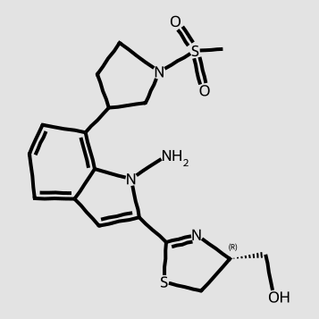 CS(=O)(=O)N1CCC(c2cccc3cc(C4=N[C@H](CO)CS4)n(N)c23)C1